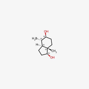 B[C@@H]1[C@@H](O)CC[C@]2(C)[C@@H](O)CC[C@@H]12